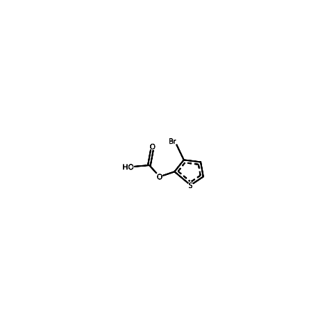 O=C(O)Oc1sccc1Br